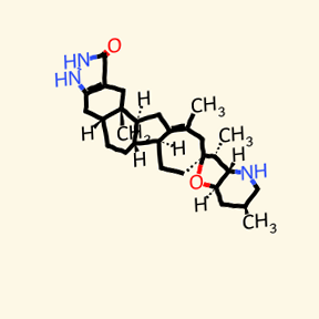 CC1=C2C[C@H]3[C@@H](CC[C@@H]4Cc5[nH][nH]c(=O)c5C[C@@]43C)[C@@H]2CC[C@@]2(C1)O[C@@H]1C[C@H](C)CN[C@H]1[C@H]2C